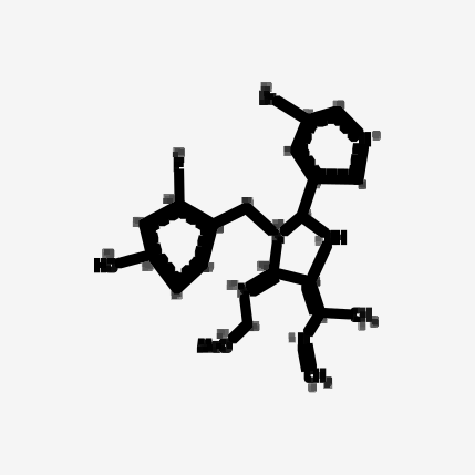 C=N/C(C)=C1/NC(c2cncc(Br)c2)N(Cc2ccc(O)cc2F)/C1=N/COC